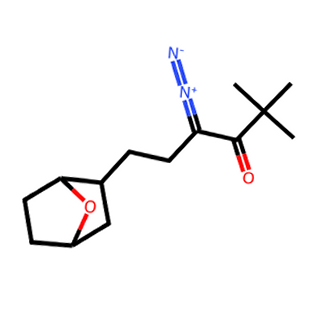 CC(C)(C)C(=O)C(CCC1CC2CCC1O2)=[N+]=[N-]